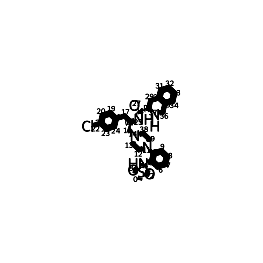 CS(=O)(=O)Nc1ccccc1N1CCN(C[C@@H](Cc2ccc(Cl)cc2)NC(=O)[C@@H]2Cc3ccccc3CN2)CC1